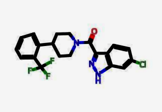 O=C(c1n[nH]c2cc(Cl)ccc12)N1CCC(c2ccccc2C(F)(F)F)CC1